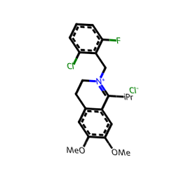 COc1cc2c(cc1OC)C(C(C)C)=[N+](Cc1c(F)cccc1Cl)CC2.[Cl-]